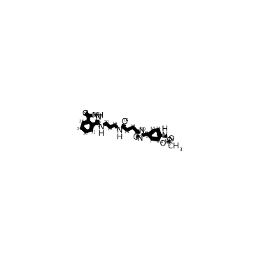 CS(=O)(=O)Nc1ccc(-c2noc(CCC(=O)NCCCNc3n[nH]c(=O)c4ccccc34)n2)cc1